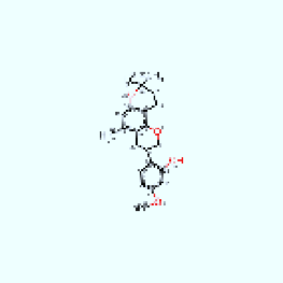 CCCOc1ccc(C2COc3c(c(C)cc4c3CCC(C)(C)O4)C2)c(O)c1